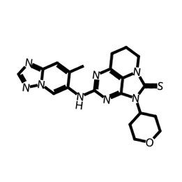 Cc1cc2ncnn2cc1Nc1nc2c3c(n1)n(C1CCOCC1)c(=S)n3CCC2